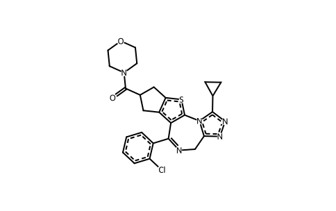 O=C(C1Cc2sc3c(c2C1)C(c1ccccc1Cl)=NCc1nnc(C2CC2)n1-3)N1CCOCC1